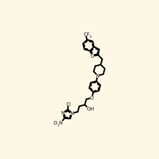 O=[N+]([O-])c1cn(CCC(O)COc2ccc(N3CCC(Cc4cc5cc(C(F)(F)F)ccc5o4)CC3)cc2)c(Cl)n1